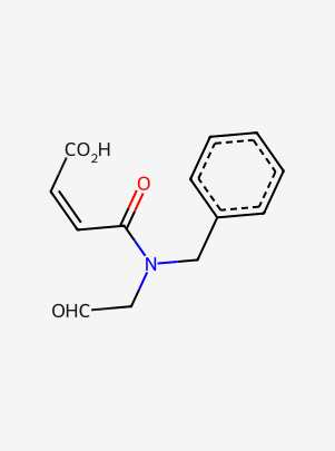 O=CCN(Cc1ccccc1)C(=O)/C=C\C(=O)O